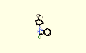 Cc1ccc(-n2nc(Cl)c3ccccc32)cc1